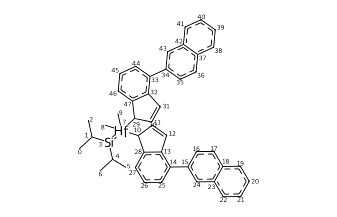 CC(C)[Si](C(C)C)=[Hf]([CH3])([CH3])([CH]1C=Cc2c(-c3ccc4ccccc4c3)cccc21)[CH]1C=Cc2c(-c3ccc4ccccc4c3)cccc21